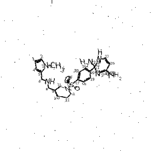 Cn1cccc1CNCC1CCCN(S(=O)(=O)c2ccc(C3(N)N=C(N)C=CN3)cc2)C1